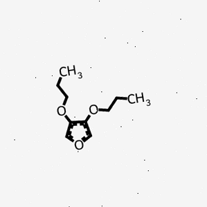 CCCOc1cocc1OCCC